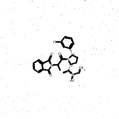 CC(=O)N(CC(F)(F)F)C(C)[C@H]1CC[C@@H](c2cccc(Cl)c2)N1C(=O)C(C)N1C(=O)c2ccccc2C1=O